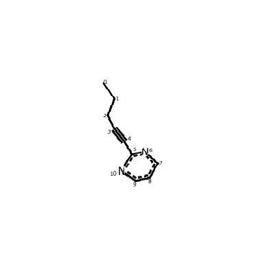 CCCC#Cc1ncccn1